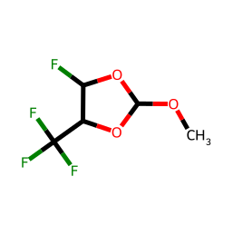 COC1OC(F)C(C(F)(F)F)O1